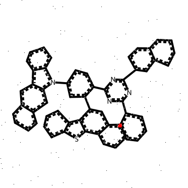 c1ccc(-c2nc(-c3ccc4ccccc4c3)nc(-c3ccc(-n4c5ccccc5c5cc6ccccc6cc54)cc3-c3cc4ccccc4c4sc5ccccc5c34)n2)cc1